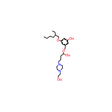 CCCCC(CC)COc1cc(O)cc(COC(O)CCCN2CCN(CCO)CC2)c1